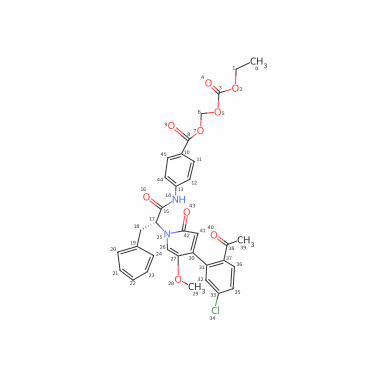 CCOC(=O)OCOC(=O)c1ccc(NC(=O)[C@@H](Cc2ccccc2)n2cc(OC)c(-c3cc(Cl)ccc3C(C)=O)cc2=O)cc1